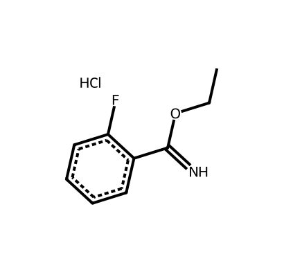 CCOC(=N)c1ccccc1F.Cl